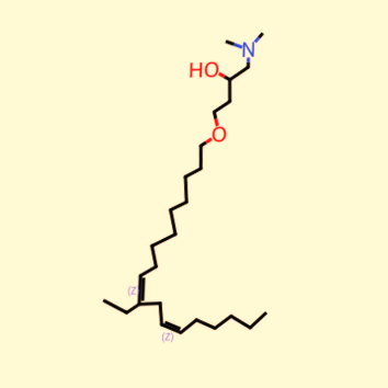 CCCCC/C=C\C/C(=C\CCCCCCCCOCCC(O)CN(C)C)CC